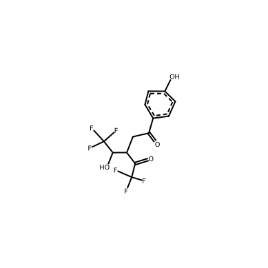 O=C(CC(C(=O)C(F)(F)F)C(O)C(F)(F)F)c1ccc(O)cc1